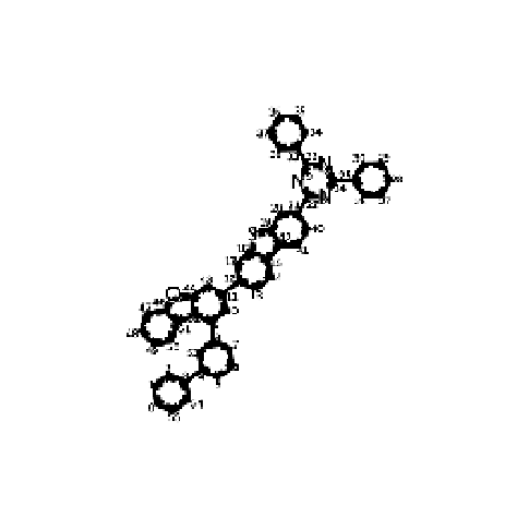 c1ccc(-c2cccc(-c3cc(-c4ccc5c(c4)sc4cc(-c6nc(-c7ccccc7)nc(-c7ccccc7)n6)ccc45)cc4oc5ccccc5c34)c2)cc1